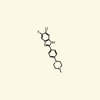 CN1CCN(c2ccc(-c3nc4cc(F)c(Cl)cc4[nH]3)cc2)CC1